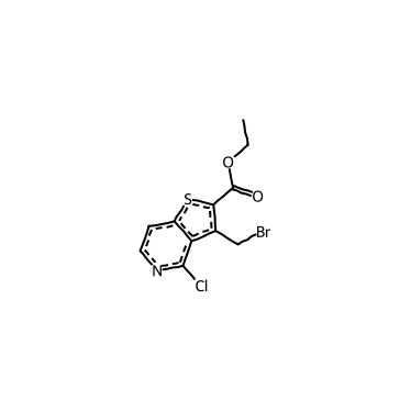 CCOC(=O)c1sc2ccnc(Cl)c2c1CBr